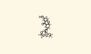 CC(C)(C)OC(=O)NC1(CCc2ccc3oc4ccc(O)cc4c(=O)c3c2)COC(C)(C)OC1